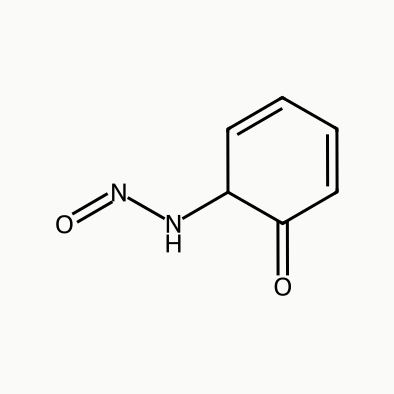 O=NNC1C=CC=CC1=O